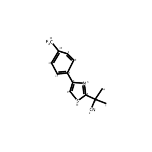 CC(C)(C#N)c1nc(-c2ccc(C(F)(F)F)cc2)cs1